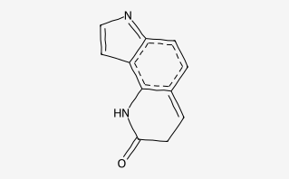 O=C1CC=c2ccc3c(c2N1)C=CN=3